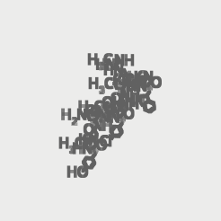 CNC(=N)NCCC[C@H](NC(=O)[C@H](CC(C)C)NC(=O)NNC(=O)[C@H](Cc1ccc(Cl)cc1)NC(=O)[C@@H](NC(=O)[C@H](CC(N)=O)NC(=O)CNC(=O)[C@@H](Cc1ccc(O)cc1)NC(C)=O)[C@@H](C)O)C(=O)N[C@@H](Cc1c[nH]c2ccccc12)C(N)=O